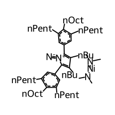 CCCCCCCCc1c(CCCCC)cc(C2=C(CCCC)C(CCCC)=C(c3cc(CCCCC)c(CCCCCCCC)c(CCCCC)c3)[N+]2=[N-])cc1CCCCC.C[N](C)[Ni][N](C)C